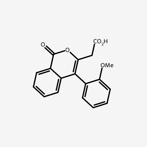 COc1ccccc1-c1c(CC(=O)O)oc(=O)c2ccccc12